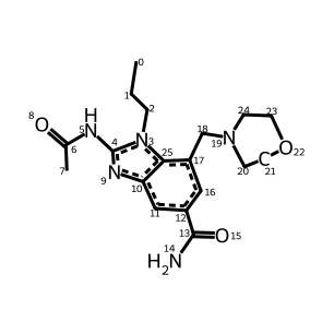 CCCn1c(NC(C)=O)nc2cc(C(N)=O)cc(CN3CCOCC3)c21